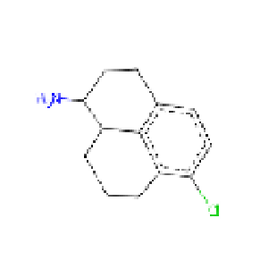 NC1CCc2ccc(Cl)c3c2C1CCC3